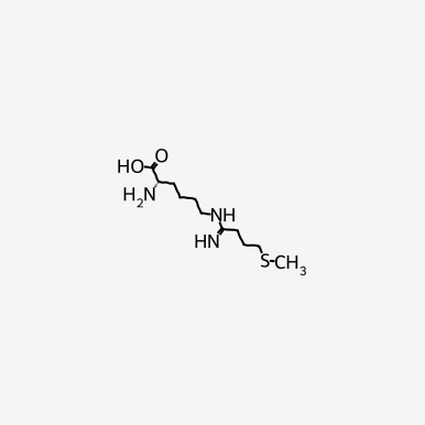 CSCCCC(=N)NCCCC[C@H](N)C(=O)O